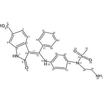 CCOC(=O)c1ccc2c(c1)NC(=O)/C2=C(\Nc1ccc(N(CCN)S(C)(=O)=O)cc1)c1ccccc1